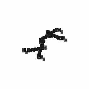 CCCCCCCC(CCCCC)NCCc1cn(CCCNC(=O)C(CCCC)CCCCCC)nn1